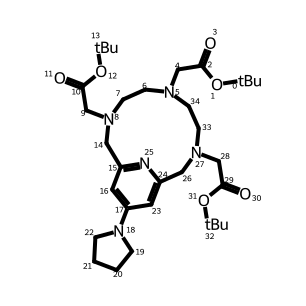 CC(C)(C)OC(=O)CN1CCN(CC(=O)OC(C)(C)C)Cc2cc(N3CCCC3)cc(n2)CN(CC(=O)OC(C)(C)C)CC1